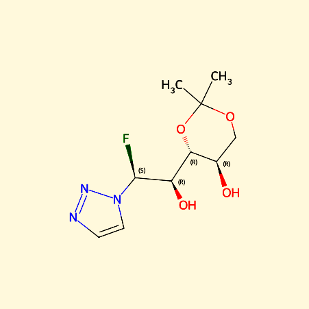 CC1(C)OC[C@@H](O)[C@H]([C@@H](O)[C@H](F)n2ccnn2)O1